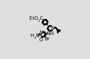 CCOC(=O)c1ccc([C@H]2C[C@@H](Nc3cnn(C)c(=O)c3Br)CN(CC3CC3)C2)cc1